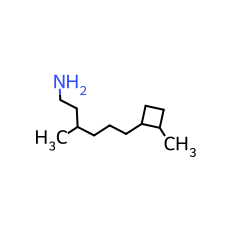 CC(CCN)CCCC1CCC1C